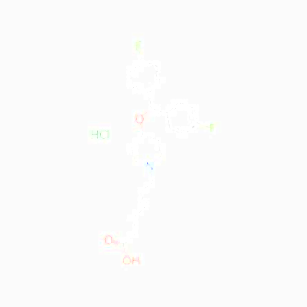 Cl.O=C(O)CCCCCN1CCC(OC(c2ccc(F)cc2)c2ccc(F)cc2)CC1